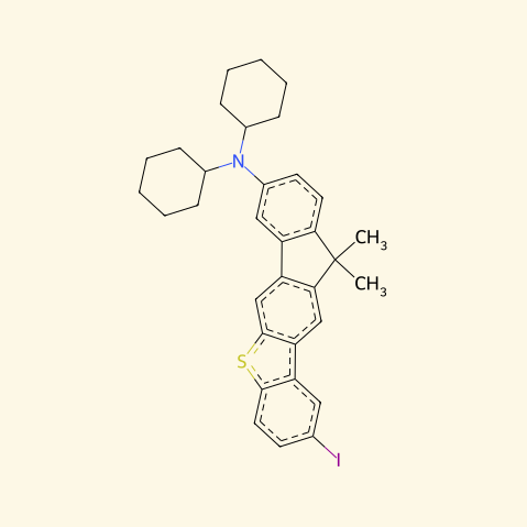 CC1(C)c2ccc(N(C3CCCCC3)C3CCCCC3)cc2-c2cc3sc4ccc(I)cc4c3cc21